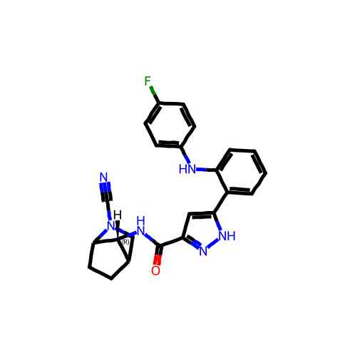 N#CN1CC2CCC1[C@@H]2NC(=O)c1cc(-c2ccccc2Nc2ccc(F)cc2)[nH]n1